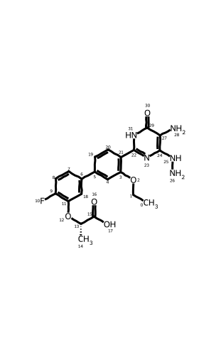 CCOc1cc(-c2ccc(F)c(O[C@@H](C)C(=O)O)c2)ccc1-c1nc(NN)c(N)c(=O)[nH]1